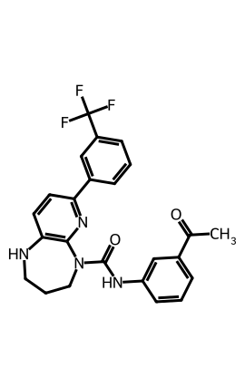 CC(=O)c1cccc(NC(=O)N2CCCNc3ccc(-c4cccc(C(F)(F)F)c4)nc32)c1